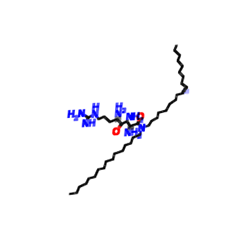 CCCCCCCC/C=C\CCCCCCCCN(CCCCCCCCCCCCCCCC)C(=O)[C@@H](N)C(N)C(=O)[C@@H](N)CCCNC(=N)N